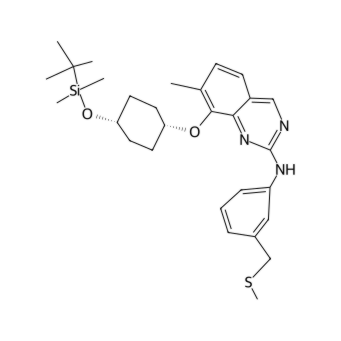 CSCc1cccc(Nc2ncc3ccc(C)c(O[C@H]4CC[C@@H](O[Si](C)(C)C(C)(C)C)CC4)c3n2)c1